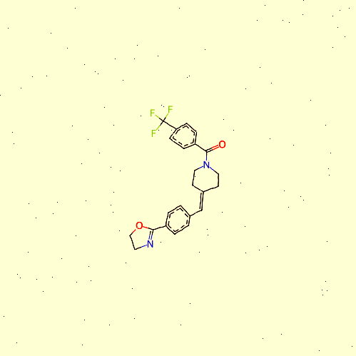 O=C(c1ccc(C(F)(F)F)cc1)N1CCC(=Cc2ccc(C3=NCCO3)cc2)CC1